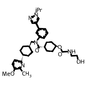 COc1ccc([C@H]2CC[C@H](CN(c3cccc(-c4cnn(C(C)C)c4)c3)C(=O)[C@H]3CC[C@H](OC(=O)NCCO)CC3)CC2)nc1C